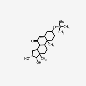 CC(C)(C)[Si](C)(C)O[C@H]1CC[C@@]2(C)C(=CC(=O)C3C2CC[C@@]2(C)C3C[C@@H](O)[C@@H]2O)C1